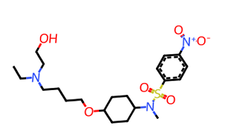 CCN(CCO)CCCCOC1CCC(N(C)S(=O)(=O)c2ccc([N+](=O)[O-])cc2)CC1